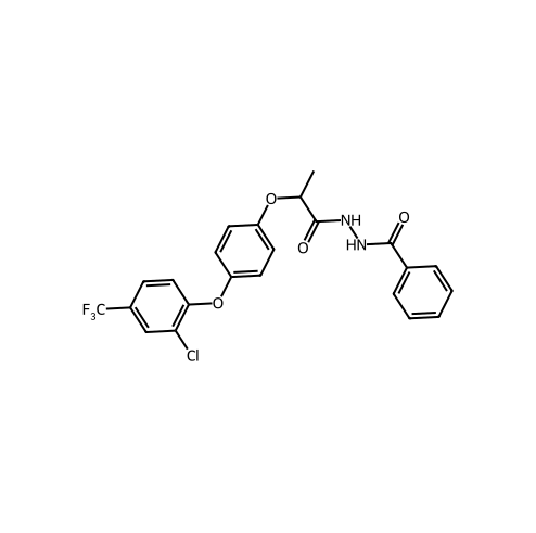 CC(Oc1ccc(Oc2ccc(C(F)(F)F)cc2Cl)cc1)C(=O)NNC(=O)c1ccccc1